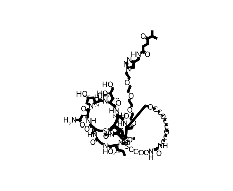 CC[C@H](C)[C@@H]1NC(=O)CC2(COCCOCCOCCOCCn3cc(CNC(=O)CCC(=O)C(C)C)nn3)COCCOCCOCCNC(=O)NCCCCSCc3c(OC)ccc4c5c([nH]c34)[S+]([O-])C[C@H](NC(=O)CNC1=O)C(=O)N[C@@H](CC(N)=O)C(=O)N1C[C@H](O)C[C@H]1C(=O)N[C@@H]([C@@H](C)[C@@H](O)CO)C(=O)N[C@@H](C5)C(=O)N2